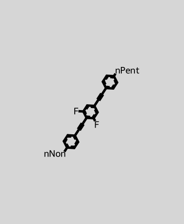 CCCCCCCCCc1ccc(C#Cc2c(F)cc(C#Cc3ccc(CCCCC)cc3)cc2F)cc1